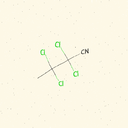 CC(Cl)(Cl)C(Cl)(Cl)C#N